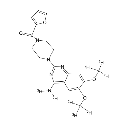 [2H]N([2H])c1nc(N2CCN(C(=O)c3ccco3)CC2)nc2cc(OC([2H])([2H])[2H])c(OC([2H])([2H])[2H])cc12